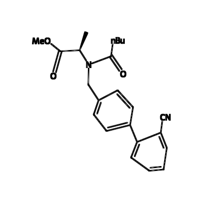 CCCCC(=O)N(Cc1ccc(-c2ccccc2C#N)cc1)[C@H](C)C(=O)OC